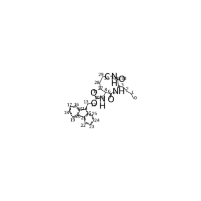 CCCCC1NC(=O)C(NC(=O)OCC2c3ccccc3-c3ccccc32)CCCCNC1=O